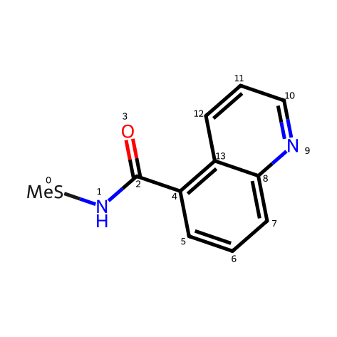 CSNC(=O)c1cccc2ncccc12